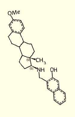 COc1ccc2c(c1)CCC1C2CC[C@@]2(C)C1CC[C@@H]2NCc1cc2ccccc2cc1O